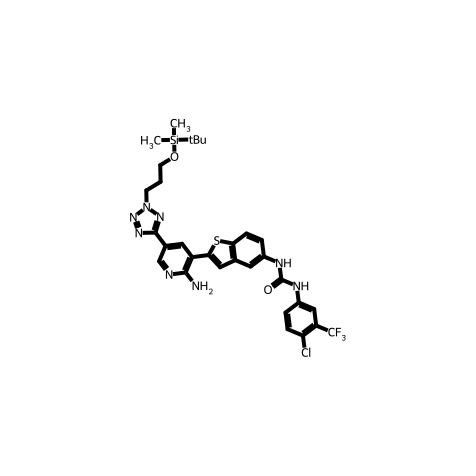 CC(C)(C)[Si](C)(C)OCCCn1nnc(-c2cnc(N)c(-c3cc4cc(NC(=O)Nc5ccc(Cl)c(C(F)(F)F)c5)ccc4s3)c2)n1